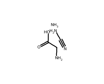 N.N#CN.NCC(=O)O